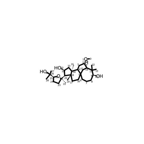 CO[C@H]1CC2C3(CCC[C@H](O)C(C)(C)[C@H]1C3)CC[C@]1(C)[C@@H]([C@@]3(C)CC[C@@H](C(C)(C)O)O3)[C@@H](O)C[C@@]21C